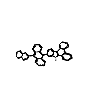 c1ccc2cc(-c3c4ccccc4c(-c4ccc5c(c4)[nH]c4c6ccccc6c6ccccc6c54)c4ccccc34)ccc2c1